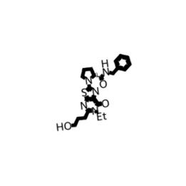 CCn1c(CCCO)nc2sc(N3CCC[C@@H]3C(=O)NCc3ccccc3)nc2c1=O